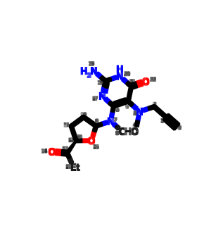 C#CCN(C)c1c(N(C=O)C2CC[C@H](C(=O)CC)O2)nc(N)[nH]c1=O